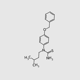 CC(C)CCN(C(N)=S)c1ccc(OCc2ccccc2)cc1